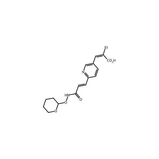 CCC(=Cc1ccc(C=CC(=O)NOC2CCCCO2)nc1)C(=O)O